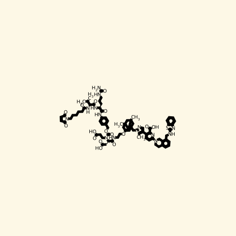 Cc1c(-c2ccc(N3CCc4cccc(CNc5nc6ccccc6s5)c4C3)nc2C(=O)O)cnn1CC12CC3(C)CC(C)(C1)CC(OCCNC(=O)[C@H](CC(=O)O)N(CCC(=O)O)C(=O)OCc1ccc(NC(=O)[C@H](CCCNC(N)=O)NC(=O)[C@@H](NC(=O)CCCCCN4C(=O)C=CC4=O)C(C)C)cc1)(C3)C2